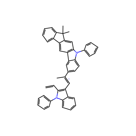 C=Cc1c(/C=C(\C)c2ccc3c(c2)c2cc4c(cc2n3-c2ccccc2)C(C)(C)c2ccccc2-4)c2ccccc2n1-c1ccccc1